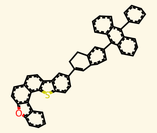 C1=C(c2ccc3sc4c(ccc5ccc6oc7ccccc7c6c54)c3c2)CCc2cc(-c3c4ccccc4c(-c4ccccc4)c4ccccc34)ccc21